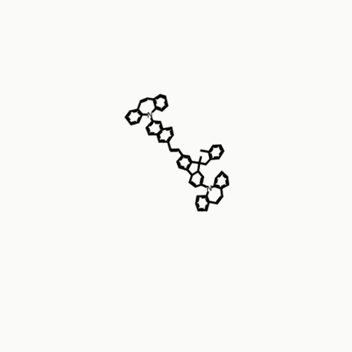 Cc1ccccc1CC1(C)c2cc(/C=C/c3ccc4cc(N5c6ccccc6C=Cc6ccccc65)ccc4c3)ccc2C2C=CC(N3c4ccccc4C=Cc4ccccc43)=CC21